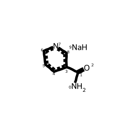 NC(=O)c1cccnc1.[NaH]